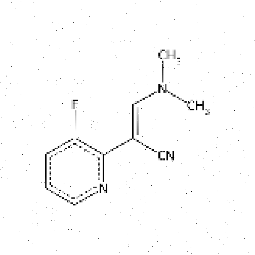 CN(C)C=C(C#N)c1ncccc1F